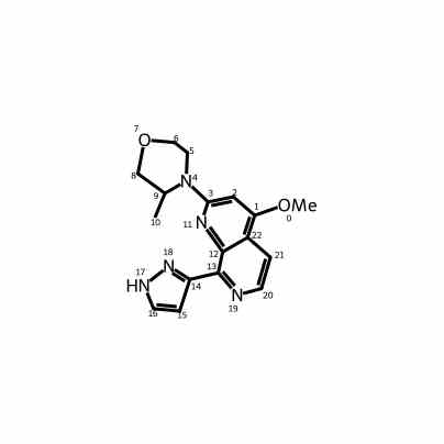 COc1cc(N2CCOCC2C)nc2c(-c3cc[nH]n3)nccc12